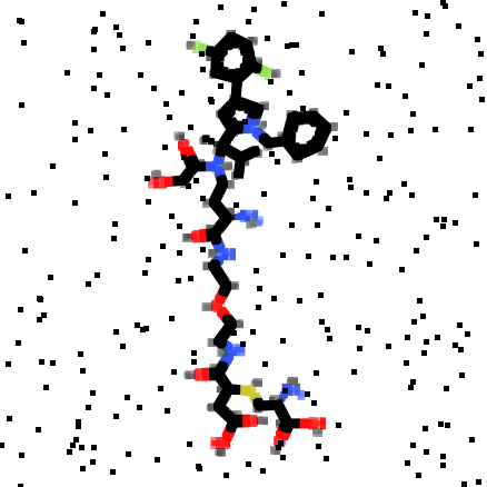 CC(C)[C@](C)(c1cc(-c2cc(F)ccc2F)cn1Cc1ccccc1)N(CC[C@H](N)C(=O)NCCOCCNC(=O)C(CC(=O)O)SC[C@H](N)C(=O)O)C(=O)CO